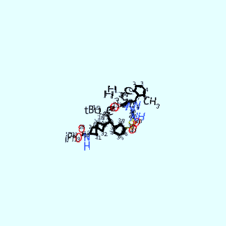 Cc1cccc(C)c1-c1nc2nc(c1C)OC[C@@H](CC(C)(C)C)C(C1CC3(CC(NC(=O)OC(C)C)C3)C1)c1cccc(c1)S(=O)(=O)N2